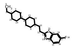 CCC1CCC(C2CCC(CCc3nc4ccc(F)cc4s3)CC2)CC1